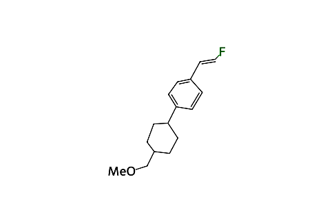 COCC1CCC(c2ccc(C=CF)cc2)CC1